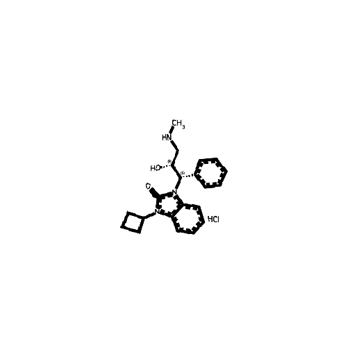 CNC[C@@H](O)[C@H](c1ccccc1)n1c(=O)n(C2CCC2)c2ccccc21.Cl